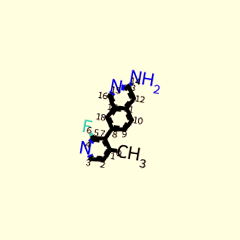 Cc1ccnc(F)c1-c1ccc2cc(N)ncc2c1